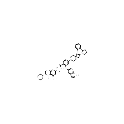 CC(C)c1ccccc1C1CCCN1C1CC2(CCN(c3ccc(C(=O)NS(=O)(=O)c4cc(N=O)c5c(n4)OC[C@H](C4CCOCC4)N5)c(Oc4cnc5[nH]ccc5c4)c3)CC2)C1